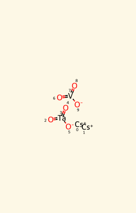 [Cs+].[Cs+].[O]=[Ta](=[O])[O-].[O]=[V](=[O])[O-]